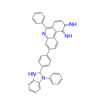 N=C1C=Cc2c(-c3ccccc3)nc3cc(-c4ccc(C5Nc6ccccc6N5c5ccccc5)cc4)ccc3c2C1=N